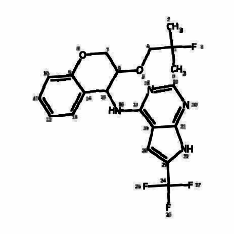 CC(C)(F)COC1COc2ccccc2C1Nc1ncnc2[nH]c(C(F)(F)F)cc12